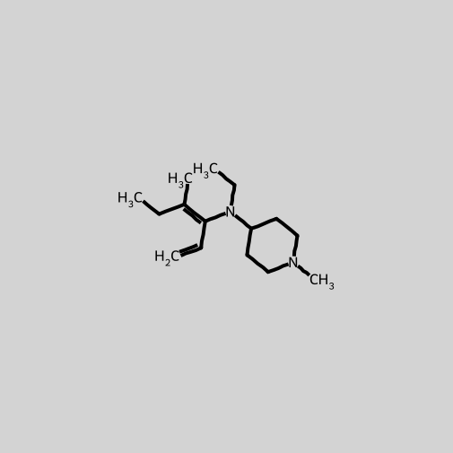 C=C/C(=C(/C)CC)N(CC)C1CCN(C)CC1